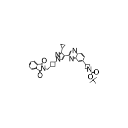 CC(C)(C)OC(=O)N1CC(c2ccc3ncc(-c4cn([C@H]5C[C@H](CN6C(=O)c7ccccc7C6=O)C5)nc4C4CC4)nc3c2)C1